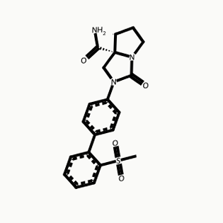 CS(=O)(=O)c1ccccc1-c1ccc(N2C[C@@]3(C(N)=O)[CH]CCN3C2=O)cc1